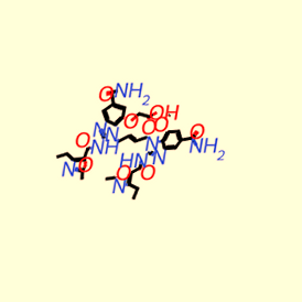 CCc1nc(C)oc1C(=O)Nc1nc2cc(C(N)=O)cc(OC)c2n1CC=CCn1c(NC(=O)c2oc(C)nc2CC)nc2cc(C(N)=O)cc(OCC(=O)O)c21